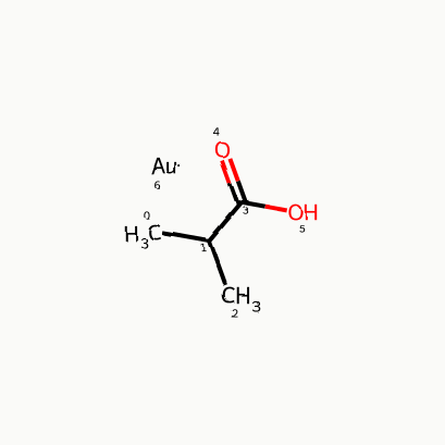 CC(C)C(=O)O.[Au]